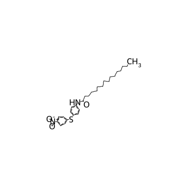 CCCCCCCCCCCCCCCC(=O)Nc1ccc(Sc2ccc([N+](=O)[O-])cc2)cc1